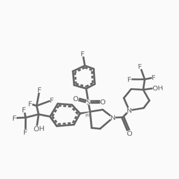 O=C(N1CCC(O)(C(F)(F)F)CC1)N1CC[C@](c2ccc(C(O)(C(F)(F)F)C(F)(F)F)cc2)(S(=O)(=O)c2ccc(F)cc2)C1